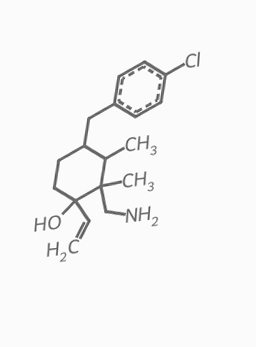 C=CC1(O)CCC(Cc2ccc(Cl)cc2)C(C)C1(C)CN